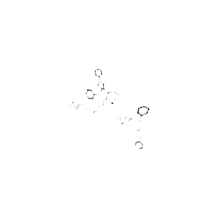 CC(C)(C)C(c1cc(-c2cc(F)ccc2F)cn1Cc1ccccc1)N(CCCNC(=O)OCC[Si](C)(C)C)C(=O)CSCC(NC(=O)C(CCC(=O)OCc1ccccc1)NC(=O)OCc1ccccc1)C(=O)O